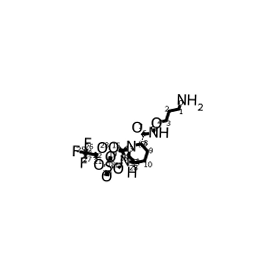 NCCCONC(=O)[C@@H]1CC[C@@H]2CN1C(=O)N2OS(=O)(=O)OC(=O)C(F)(F)F